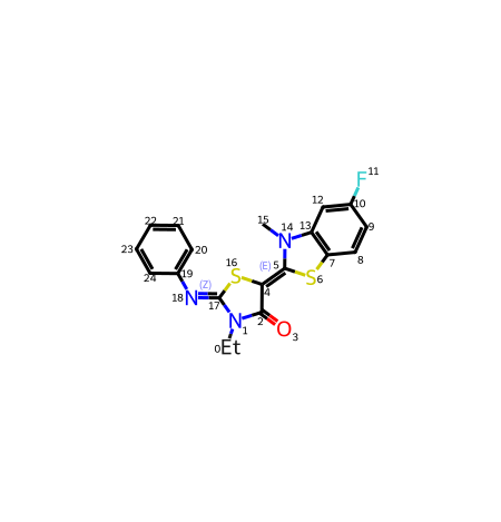 CCN1C(=O)/C(=C2\Sc3ccc(F)cc3N2C)S/C1=N\c1ccccc1